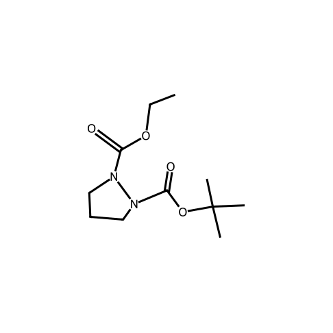 CCOC(=O)N1CCCN1C(=O)OC(C)(C)C